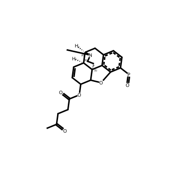 CC(=O)CCC(=O)OC1C=C[C@H]2[C@H]3Cc4ccc(P=O)c5c4[C@@]2(CCN3C)C1O5